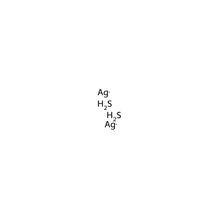 S.S.[Ag].[Ag]